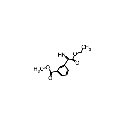 CCOC(=O)C(=N)c1cccc(C(=O)OC)c1